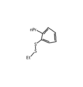 CCCc1ccccc1SSCC